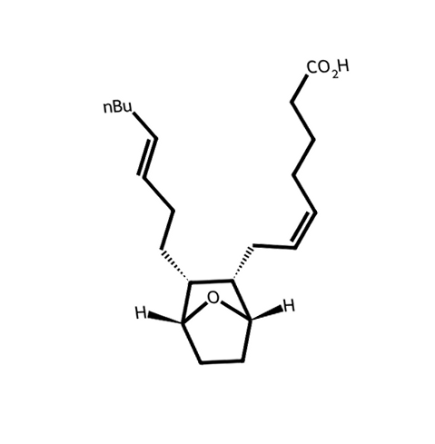 CCCC/C=C/CC[C@@H]1[C@H](C/C=C\CCCC(=O)O)[C@@H]2CC[C@H]1O2